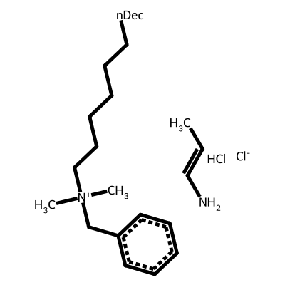 CC=CN.CCCCCCCCCCCCCCCC[N+](C)(C)Cc1ccccc1.Cl.[Cl-]